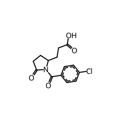 O=C(O)CCC1CCC(=O)N1C(=O)c1ccc(Cl)cc1